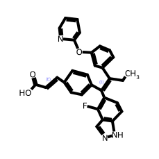 CC/C(=C(/c1ccc(/C=C/C(=O)O)cc1)c1ccc2[nH]ncc2c1F)c1cccc(Oc2ccccn2)c1